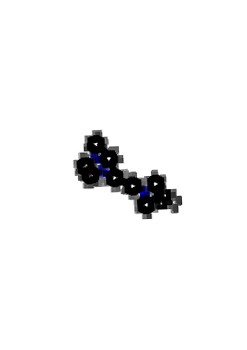 CC1(C)c2ccccc2N(c2ccc(-c3ccc4c(c3)c3ccc5c6ccccc6n(-c6ccccc6)c5c3n4-c3ccccc3)cc2)c2ccccc21